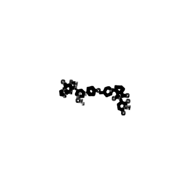 CN1C[C@H](Nc2nc3sccn3c(=O)c2Br)C[C@H](c2ccc(OCC3CCN(c4cccc5c4C(=O)N(C4CCC(=O)NC4=O)C5=O)CC3)cc2)C1